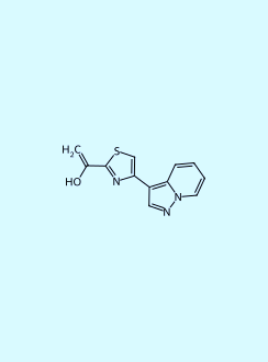 C=C(O)c1nc(-c2cnn3ccccc23)cs1